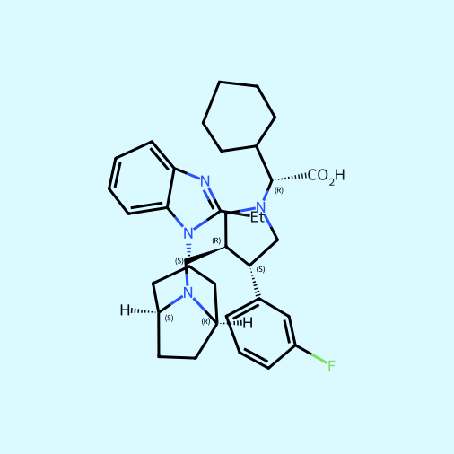 CCc1nc2ccccc2n1[C@@H]1C[C@H]2CC[C@@H](C1)N2C[C@H]1CN([C@@H](C(=O)O)C2CCCCC2)C[C@@H]1c1cccc(F)c1